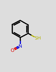 O=Nc1ccccc1S